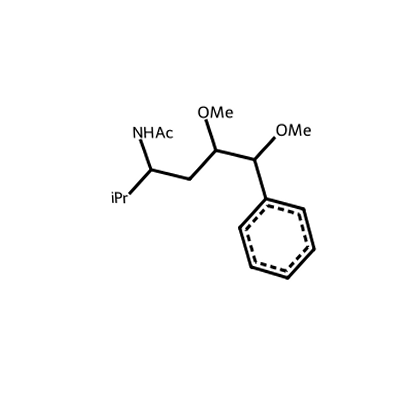 [CH2]C(C)C(CC(OC)C(OC)c1ccccc1)NC(C)=O